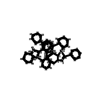 C1=CC2N=C(c3ccccc3)N(c3ccccc3-c3nc(-c4ccccc4)nc(-c4ccccc4-n4c(-c5ccccc5)nc5ccccc54)n3)C2C=C1